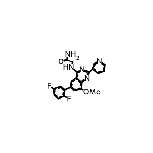 COc1cc(-c2cc(F)ccc2F)cc2c(NCC(N)=O)nc(-c3cccnc3)nc12